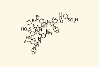 CCN(CC)c1ccc(/N=N/c2nc(N3CCOCC3)c(/C=C(/C(C)=O)C(=O)Nc3cccc(S(=O)(=O)O)c3)s2)c(Nc2nc(Nc3cc(N(CC)CC)ccc3/N=N/c3nc(N4CCOCC4)c(/C=C(\C(C)=O)C(=O)Nc4cccc(S(=O)(=O)O)c4)s3)nc(SCc3ccccc3)n2)c1